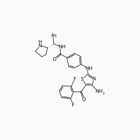 CC(=O)C(NC(=O)c1ccc(Nc2nc(N)c(C(=O)c3c(F)cccc3F)s2)cc1)[C@@H]1CCCN1